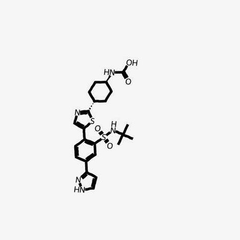 CC(C)(C)NS(=O)(=O)c1cc(-c2cc[nH]n2)ccc1-c1cnc([C@H]2CC[C@H](NC(=O)O)CC2)s1